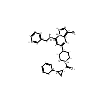 O=C([C@@H]1C[C@H]1C1C=CC=CC1)N1CCC(c2cc(NCc3cccnc3)n3ncc(Br)c3n2)CC1